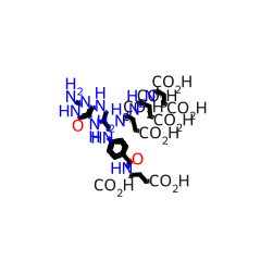 N[C@@H](CCC(=O)O)C(=O)O.N[C@@H](CCC(=O)O)C(=O)O.N[C@@H](CCC(=O)O)C(=O)O.Nc1nc2c(c(=O)[nH]1)NC(CNc1ccc(C(=O)NC(CCC(=O)O)C(=O)O)cc1)CN2